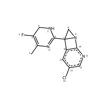 CC1=C(F)CNC(C23CN2c2ncc(Cl)cc23)=N1